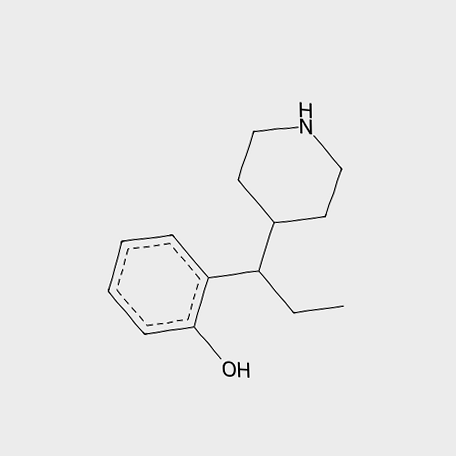 CCC(c1ccccc1O)C1CCNCC1